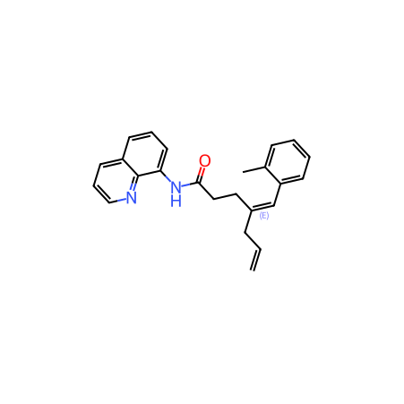 C=CC/C(=C/c1ccccc1C)CCC(=O)Nc1cccc2cccnc12